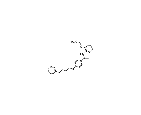 O=C(O)COc1ccccc1NC(=O)c1ccc(OCCCCc2ccccc2)cc1